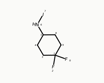 FC1(F)CCC(NI)CC1